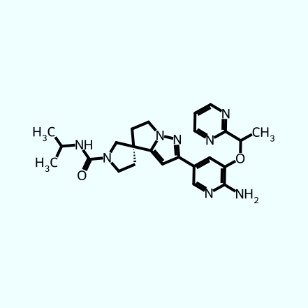 CC(C)NC(=O)N1CC[C@@]2(CCn3nc(-c4cnc(N)c(OC(C)c5ncccn5)c4)cc32)C1